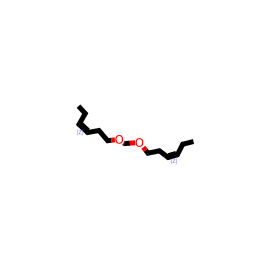 CC/C=C\CCOCOCC/C=C\CC